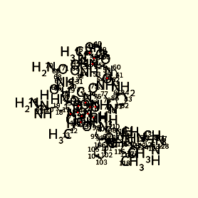 CCCC[C@@H](C(=O)N(C)[C@@H](CCCC)C(=O)N[C@@H](CCCNC(=N)N)C(=O)N[C@@H](CSCC(=O)N[C@@H](Cc1ccccc1)C(=O)N(C)[C@@H](C)C(=O)N[C@@H](CC(N)=O)C(=O)N1CC[C@@H](N)C1)C(=O)NCC(N)=O)N(C)C(=O)[C@H](Cc1c[nH]c2ccccc12)NC(=O)[C@H](CO)NC(=O)[C@H](Cc1c[nH]c2ccccc12)NC(=O)CN(C)C(=O)[C@H](CC(C)C)NC(=O)[C@H](Cc1cnc[nH]1)NC